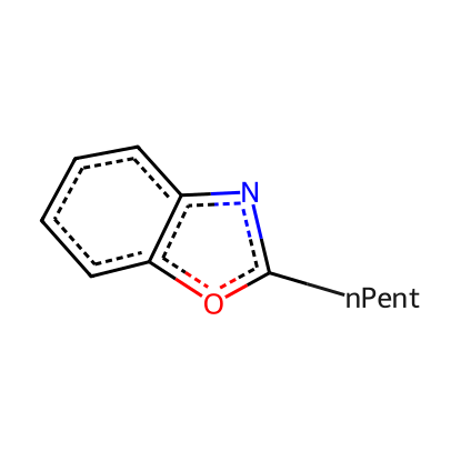 [CH2]CCCCc1nc2ccccc2o1